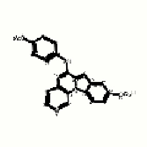 COc1ccc(Nc2nc3ccncc3n3c2cc2cc(C(=O)O)ccc23)cc1